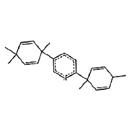 CC1C=CC(C)(c2ccc(C3(C)C=CC(C)(C)C=C3)cn2)C=C1